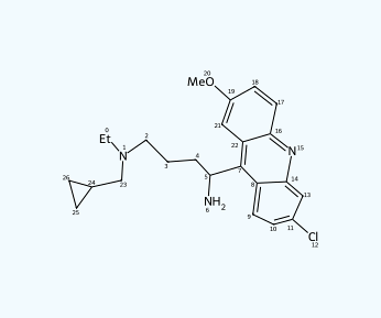 CCN(CCCC(N)c1c2ccc(Cl)cc2nc2ccc(OC)cc12)CC1CC1